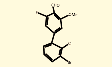 COc1cc(-c2cccc(Br)c2Cl)cc(F)c1C=O